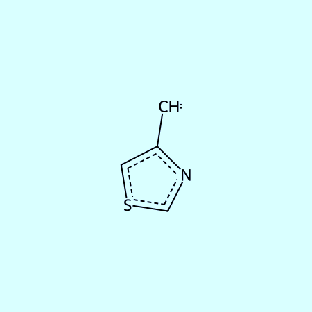 [CH]c1cscn1